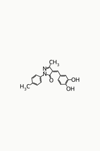 CC1=NN(c2ccc(C)cc2)C(=O)C1=Cc1ccc(O)c(O)c1